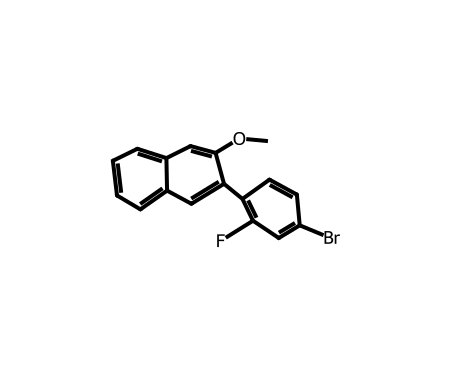 COc1cc2ccccc2cc1-c1ccc(Br)cc1F